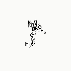 COc1ccc(Oc2ccc(C(C)NC(=O)C3(NC(=O)c4cncnc4)CC3)c(F)c2)cc1